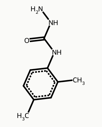 Cc1ccc(NC(=O)NN)c(C)c1